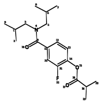 CC(C)CN(CC(C)C)C(=O)c1ccc(OC(=O)C(C)C)c(F)c1